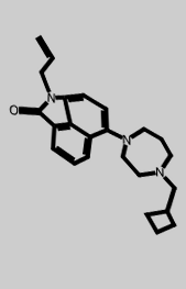 C=CCN1C(=O)c2cccc3c(N4CCCN(CC5CCC5)CC4)ccc1c23